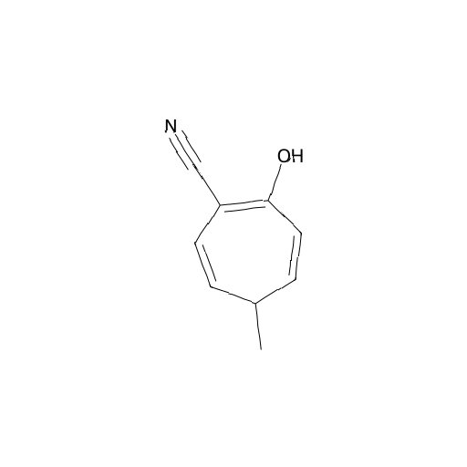 CC1C=CC(O)=C(C#N)C=C1